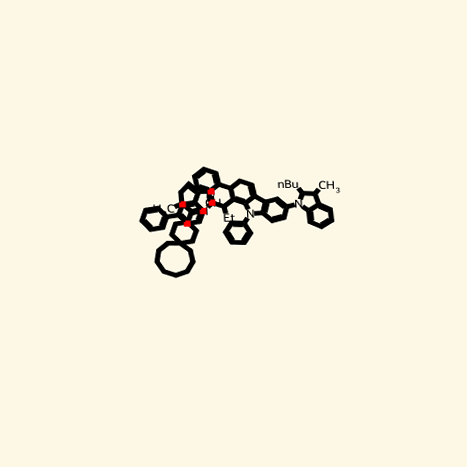 CCCCC1C(C)c2ccccc2N1c1ccc2c(c1)c1c(n2-c2ccccc2)=C(C(CC)C2=N/C(c3cccc(-c4ccccc4)c3)=C/CC(C)/C(C3CCC4(CCCCCCCC4)CC3)=N\2)C(c2ccccc2C)CC=1